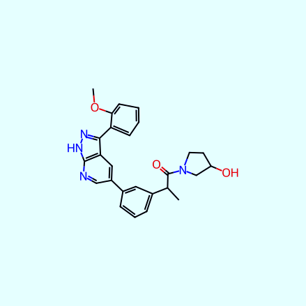 COc1ccccc1-c1n[nH]c2ncc(-c3cccc(C(C)C(=O)N4CCC(O)C4)c3)cc12